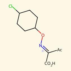 CC(=O)/C(=N\OC1CCC(Cl)CC1)C(=O)O